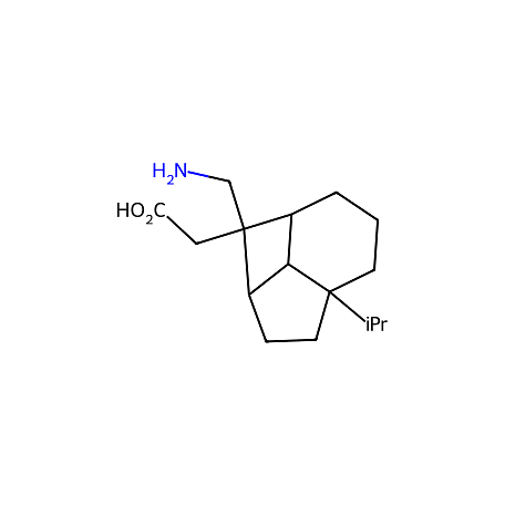 CC(C)C12CCCC3C1C(CC2)C3(CN)CC(=O)O